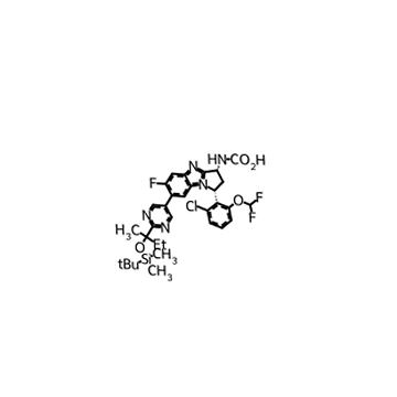 CCC(C)(O[Si](C)(C)C(C)(C)C)c1ncc(-c2cc3c(cc2F)nc2n3[C@@H](c3c(Cl)cccc3OC(F)F)C[C@H]2NC(=O)O)cn1